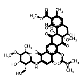 COC(=O)c1c(C)cc2c(c1O)[C@]1(O)C(=O)c3cc4c(c(OC(=O)N(C)C)c3C(=O)[C@]1(OC)[C@H](O)C2)C(=O)C=C(NC1O[C@@H](C)[C@H](OC)[C@@H](O)[C@H]1CO)C4=O